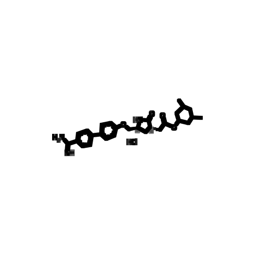 CC1CC(C)CC(OC(=O)C[C@@H]2C[C@@H](COc3ccc(-c4ccc(C(=N)N)cc4)cc3)NC2=O)C1.Cl